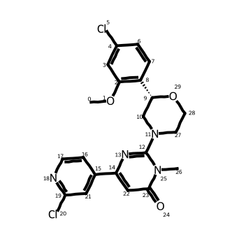 COc1cc(Cl)ccc1[C@H]1CN(c2nc(-c3ccnc(Cl)c3)cc(=O)n2C)CCO1